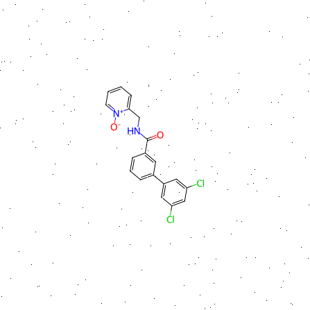 O=C(NCc1cccc[n+]1[O-])c1cccc(-c2cc(Cl)cc(Cl)c2)c1